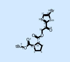 CC(C)(C)OC(=O)N1CCC[C@H]1C(=O)OCC(=O)c1ncc(Br)s1